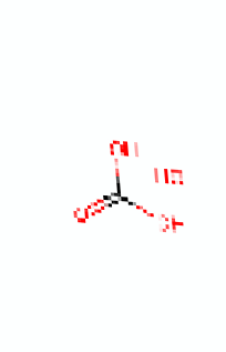 O=C(O)O.[OH]